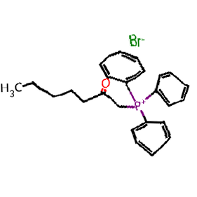 CCCCCC(=O)C[P+](c1ccccc1)(c1ccccc1)c1ccccc1.[Br-]